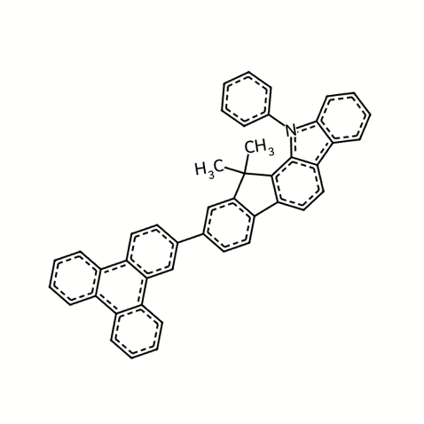 CC1(C)c2cc(-c3ccc4c5ccccc5c5ccccc5c4c3)ccc2-c2ccc3c4ccccc4n(-c4ccccc4)c3c21